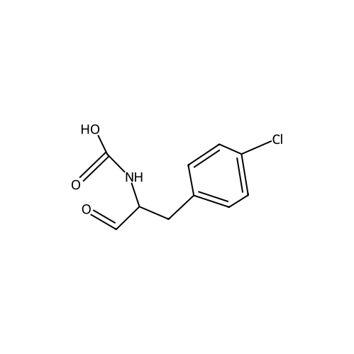 O=CC(Cc1ccc(Cl)cc1)NC(=O)O